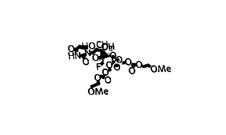 COCCOC(=O)OCOP(=O)(OCOC(=O)OCCOC)O[C@H]1[C@]2(O)[C@@](C)(O)[C@H](n3ccc(=O)[nH]c3=O)O[C@]12CF